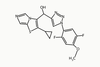 COc1cc(F)c(-n2cc(C(O)c3c(C4CC4)sc4cncn34)nn2)cc1F